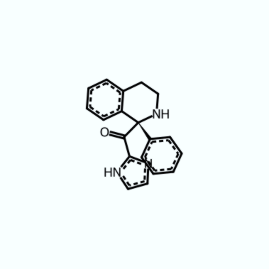 O=C(c1ncc[nH]1)[C@@]1(c2ccccc2)NCCc2ccccc21